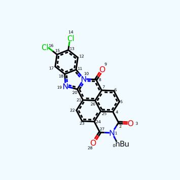 CCCCN1C(=O)c2ccc3c(=O)n4c5cc(Cl)c(Cl)cc5nc4c4ccc(c2c34)C1=O